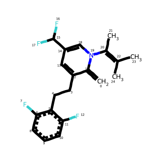 C=C1C(CCc2c(F)cccc2F)=CC(C(F)F)=CN1C(C)=C(C)C